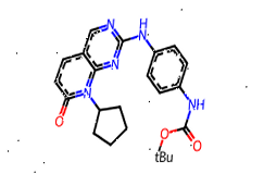 CC(C)(C)OC(=O)Nc1ccc(Nc2ncc3ccc(=O)n(C4CCCC4)c3n2)cc1